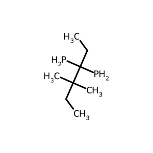 CCC(C)(C)C(P)(P)CC